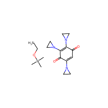 C[Si](C)(C)OC[SiH3].O=C1C=C(N2CC2)C(=O)C(N2CC2)=C1N1CC1